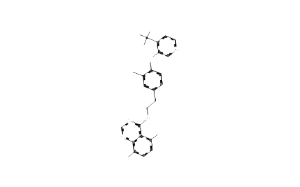 Fc1ccc(F)c2c(NCCc3ccc(Oc4cnccc4C(F)(F)F)c(Cl)c3)ncnc12